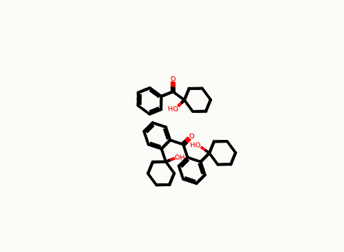 O=C(c1ccccc1)C1(O)CCCCC1.O=C(c1ccccc1C1(O)CCCCC1)c1ccccc1C1(O)CCCCC1